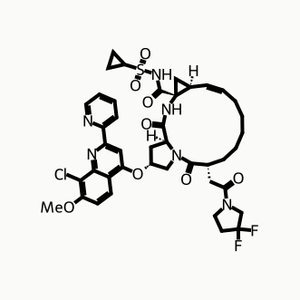 COc1ccc2c(O[C@@H]3C[C@H]4C(=O)N[C@]5(C(=O)NS(=O)(=O)C6CC6)C[C@H]5/C=C\CCCCC[C@H](CC(=O)N5CCC(F)(F)C5)C(=O)N4C3)cc(-c3ccccn3)nc2c1Cl